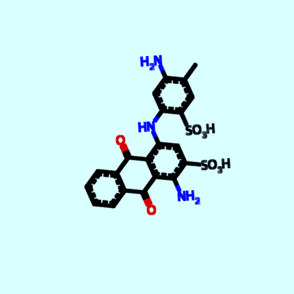 Cc1cc(S(=O)(=O)O)c(Nc2cc(S(=O)(=O)O)c(N)c3c2C(=O)c2ccccc2C3=O)cc1N